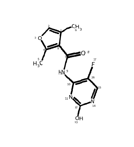 Cc1coc(C)c1C(=O)Nc1nc(O)ncc1F